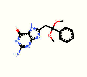 COC(Cc1nc2nc(N)[nH]c(=O)c2[nH]1)(OC)c1ccccc1